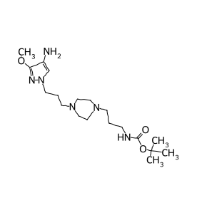 COc1nn(CCCN2CCN(CCCNC(=O)OC(C)(C)C)CC2)cc1N